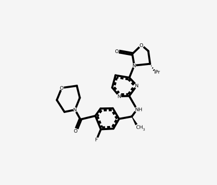 CC(C)[C@H]1COC(=O)N1c1ccnc(N[C@@H](C)c2ccc(C(=O)N3CCOCC3)c(F)c2)n1